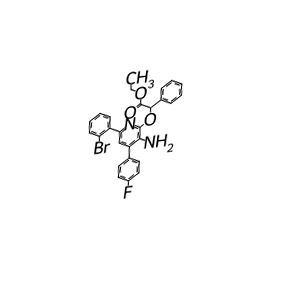 CCOC(=O)C(Oc1nc(-c2ccccc2Br)cc(-c2ccc(F)cc2)c1N)c1ccccc1